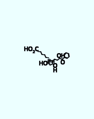 O=C(O)CCCCCC[C@H]1[C@@H](O)CC(O)[C@@H]1CCC(O)C(=O)c1ccccc1